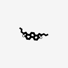 CCCc1cc2c(ccc3c2ccc2c4cc(CCC)oc4ccc23)o1